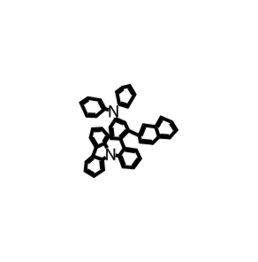 c1ccc(N(c2ccccc2)c2ccc(-c3ccccc3-n3c4ccccc4c4ccccc43)c(-c3ccc4ccccc4c3)c2)cc1